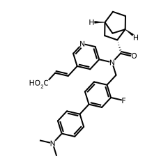 CN(C)c1ccc(-c2ccc(CN(C(=O)[C@@H]3C[C@@H]4CC[C@H]3C4)c3cncc(C=CC(=O)O)c3)c(F)c2)cc1